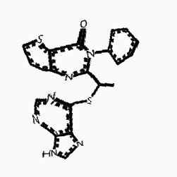 CC(Sc1ncnc2[nH]cnc12)c1nc2ccsc2c(=O)n1-c1ccccc1